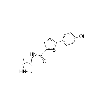 O=C(NC1CC2CC1CN2)c1ccc(-c2ccc(O)cc2)s1